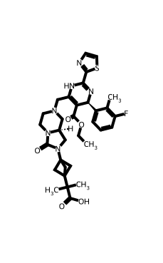 CCOC(=O)C1=C(CN2CCN3C(=O)N(C45CC(C(C)(C)C(=O)O)(C4)C5)C[C@@H]3C2)NC(c2nccs2)=N[C@H]1c1cccc(F)c1C